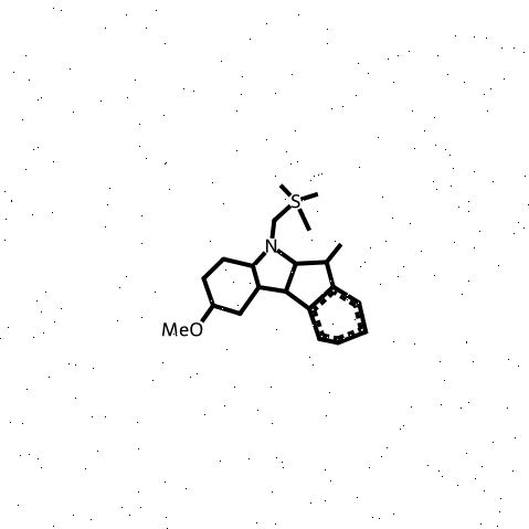 COC1CCC2C(C1)C1c3ccccc3C(C)C1N2CS(C)(C)C